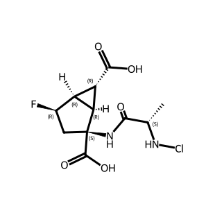 C[C@H](NCl)C(=O)N[C@@]1(C(=O)O)C[C@@H](F)[C@H]2[C@H](C(=O)O)[C@H]21